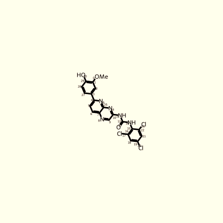 COc1cc(-c2ccc3ncc(NC(=O)Nc4c(Cl)cc(Cl)cc4Cl)nc3n2)ccc1O